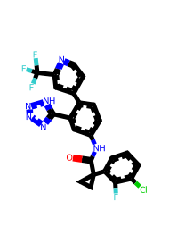 O=C(Nc1ccc(-c2ccnc(C(F)(F)F)c2)c(-c2nnn[nH]2)c1)C1(c2cccc(Cl)c2F)CC1